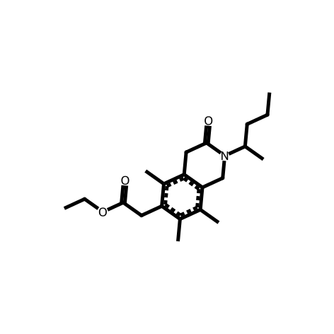 CCCC(C)N1Cc2c(C)c(C)c(CC(=O)OCC)c(C)c2CC1=O